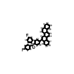 O=P(c1ccc(F)cc1)(c1ccc(F)cc1)c1ccc(-c2cc3c(ccc4c5ccccc5ccc43)c3ccccc23)cc1